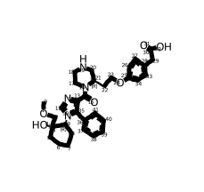 COC[C@]1(O)CCCC[C@H]1n1cnc(C(=O)N2CCNC[C@H]2CCOc2ccc(CC(=O)O)cc2)c1-c1ccccc1